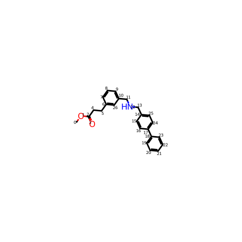 COC(=O)CCc1cccc(CNCc2ccc(-c3ccccc3)cc2)c1